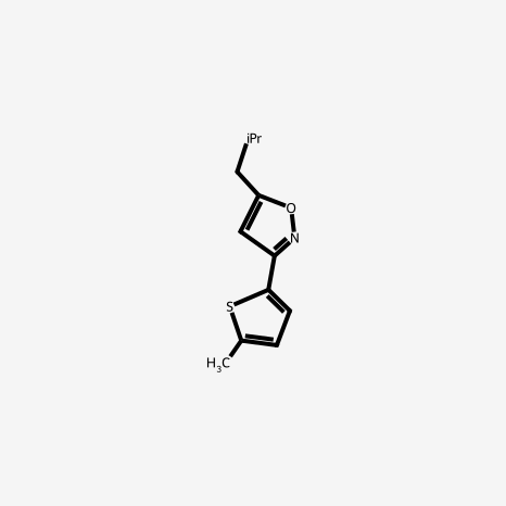 Cc1ccc(-c2cc(CC(C)C)on2)s1